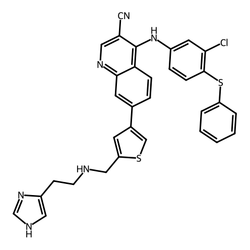 N#Cc1cnc2cc(-c3csc(CNCCc4c[nH]cn4)c3)ccc2c1Nc1ccc(Sc2ccccc2)c(Cl)c1